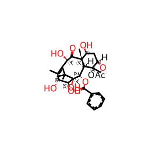 CC(=O)O[C@@]12CO[C@@H]1C[C@H](O)[C@@]1(C)C(=O)[C@H](O)C3=C(C)[C@@H](O)[C@H](O)[C@@](O)([C@@H](OC(=O)c4ccccc4)[C@H]21)C3(C)C